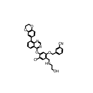 N#Cc1cccc(COc2cc(Oc3ncnc4c(-c5ccc6c(c5)OCCO6)cccc34)c(Cl)cc2CNCCO)c1